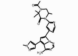 CC(=O)N1CC(C)N(c2cc(-c3cc(-c4cnn(C)c4)c4c(N)ncnn34)ccn2)C(=O)C1(C)C